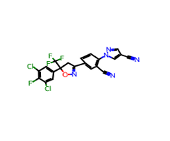 N#Cc1cnn(-c2ccc(C3=NOC(c4cc(Cl)c(F)c(Cl)c4)(C(F)(F)F)C3)cc2C#N)c1